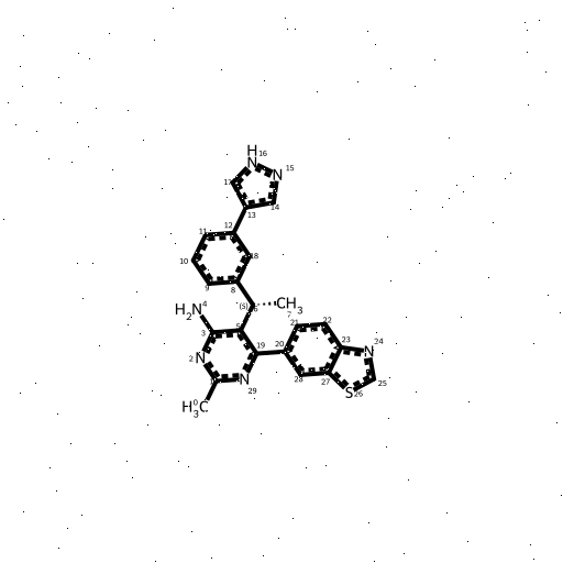 Cc1nc(N)c([C@@H](C)c2cccc(-c3cn[nH]c3)c2)c(-c2ccc3ncsc3c2)n1